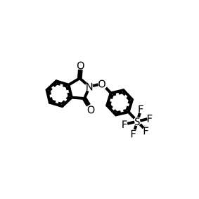 O=C1c2ccccc2C(=O)N1Oc1ccc(S(F)(F)(F)(F)F)cc1